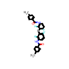 Cc1ccc(C(=O)Nc2ccc(F)[c]([Ti][c]3c(F)ccc(NC(=O)c4ccc(C)cc4)c3F)c2F)cc1